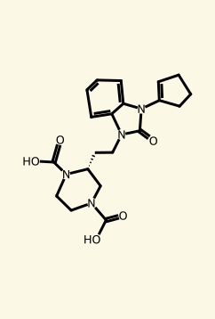 O=C(O)N1CCN(C(=O)O)[C@H](CCn2c(=O)n(C3=CCCC3)c3ccccc32)C1